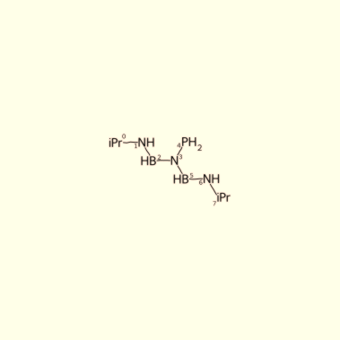 CC(C)NBN(P)BNC(C)C